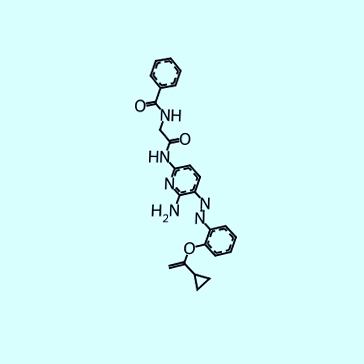 C=C(Oc1ccccc1/N=N/c1ccc(NC(=O)CNC(=O)c2ccccc2)nc1N)C1CC1